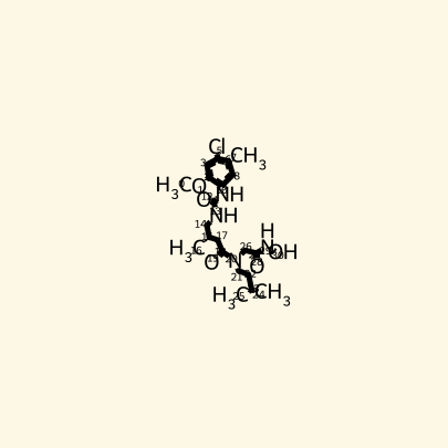 COc1cc(Cl)c(C)cc1NC(=O)NC[C@@H](C)CC(=O)N(CCC(C)C)CC(=O)NO